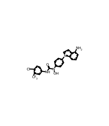 Nc1cccc2c1ccn2-c1ccc(N(O)C(=O)Nc2ccc(Cl)c(C(F)(F)F)c2)cc1